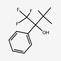 CC(C)(C)C(O)(c1ccccc1)C(F)(F)F